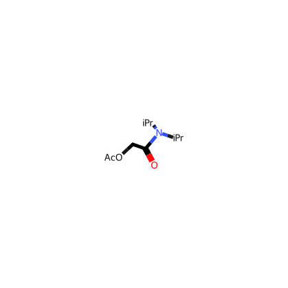 CC(=O)OCC(=O)N(C(C)C)C(C)C